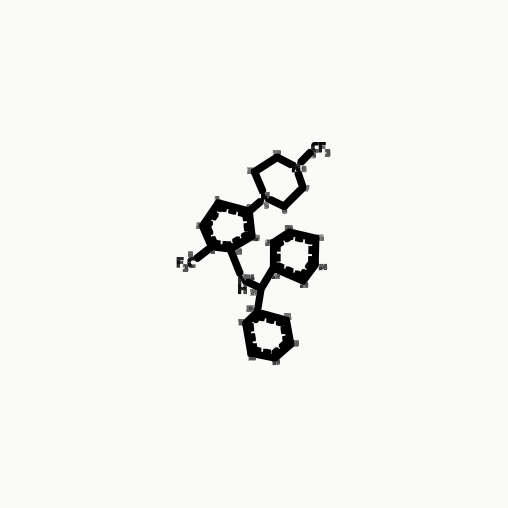 FC(F)(F)c1ccc(N2CCN(C(F)(F)F)CC2)cc1NC(c1ccccc1)c1ccccc1